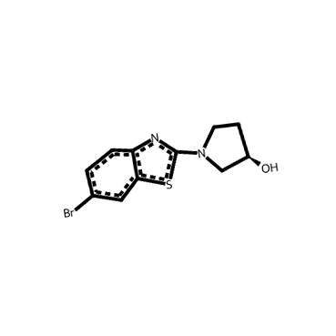 O[C@@H]1CCN(c2nc3ccc(Br)cc3s2)C1